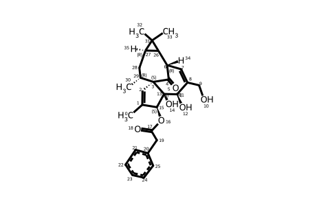 CC1=C[C@]23C(=O)[C@@H](C=C(CO)[C@@H](O)[C@]2(O)[C@H]1OC(=O)Cc1ccccc1)C1[C@@H](C[C@H]3C)C1(C)C